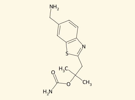 CC(C)(Cc1nc2ccc(CN)cc2s1)OC(N)=O